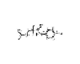 CC(=O)OCC(C)(C)C(=S)Nc1ccc(I)cn1